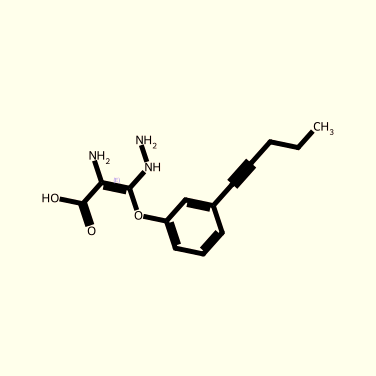 CCCC#Cc1cccc(O/C(NN)=C(/N)C(=O)O)c1